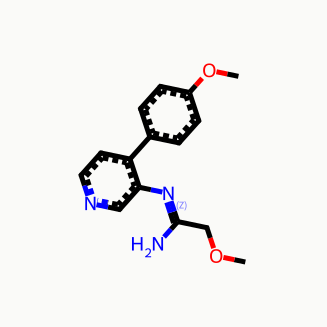 COC/C(N)=N/c1cnccc1-c1ccc(OC)cc1